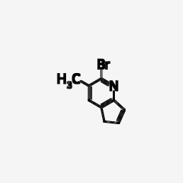 Cc1cc2c(nc1Br)C=CC2